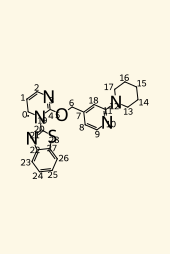 [CH]1C=CN=C(OCc2ccnc(N3CCCCC3)c2)N1c1nc2ccccc2s1